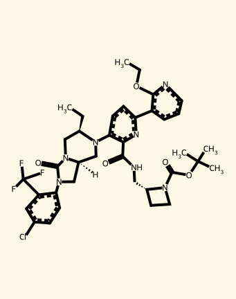 CCOc1ncccc1-c1ccc(N2C[C@H]3CN(c4ccc(Cl)cc4C(F)(F)F)C(=O)N3C[C@H]2CC)c(C(=O)NC[C@H]2CCN2C(=O)OC(C)(C)C)n1